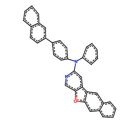 c1ccc(N(c2ccc(-c3ccc4ccccc4c3)cc2)c2cc3c(cn2)oc2cc4ccccc4cc23)cc1